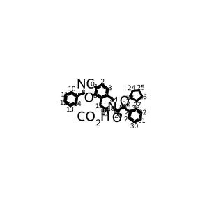 N#Cc1ccc2c(c1OCc1ccccc1)C[C@H](C(=O)O)N(C(=O)[C@@H](OC1CCCC1)c1ccccc1)C2